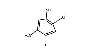 Nc1cc(S)c(Cl)cc1F